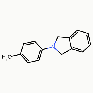 Cc1ccc(N2Cc3ccccc3C2)cc1